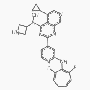 CN(c1nc(-c2ccnc(NC3=C(F)C=CCC=C3F)c2)nc2cncc(C3CC3)c12)C1CNC1